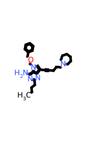 CCCCc1nc(N)c2c(n1)c(C#CCCCN1CCCCCC1)cn2COCc1ccccc1